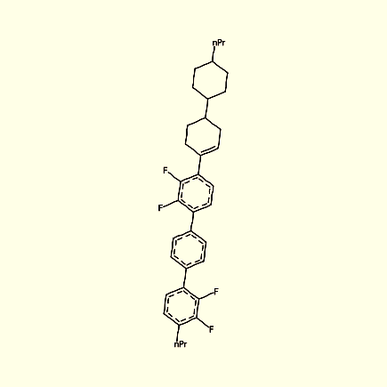 CCCc1ccc(-c2ccc(-c3ccc(C4=CCC(C5CCC(CCC)CC5)CC4)c(F)c3F)cc2)c(F)c1F